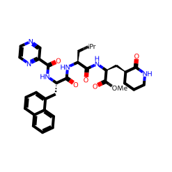 COC(=O)[C@H](C[C@@H]1CCCNC1=O)NC(=O)[C@H](CC(C)C)NC(=O)[C@H](Cc1cccc2ccccc12)NC(=O)c1cnccn1